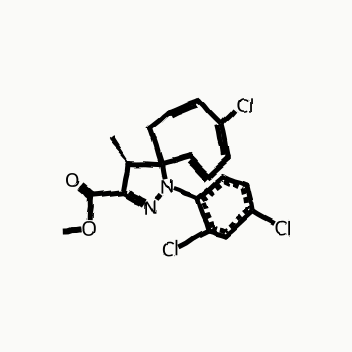 COC(=O)C1=NN(c2ccc(Cl)cc2Cl)C2(/C=C/C=C(Cl)\C=C/C2)[C@@H]1C